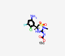 CN1/C(=N/C(=O)OC(C)(C)C)N[C@](C)(c2cc(N)cc(F)c2Cl)CS1(=O)=O